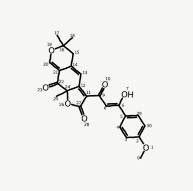 COc1ccc(/C(O)=C/C(=O)C2=C3C=C4CC(C)(C)OC=C4C(=O)C3(C)OC2=O)cc1